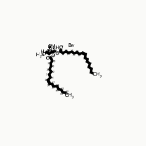 CCCCCCCC/C=C\CCCCCCCC(=O)OCC(CCC)(OC(=O)CCCCCCC/C=C\CCCCCCCC)[N+](C)(C)O.[Br-]